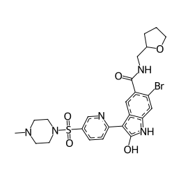 CN1CCN(S(=O)(=O)c2ccc(-c3c(O)[nH]c4cc(Br)c(C(=O)NCC5CCCO5)cc34)nc2)CC1